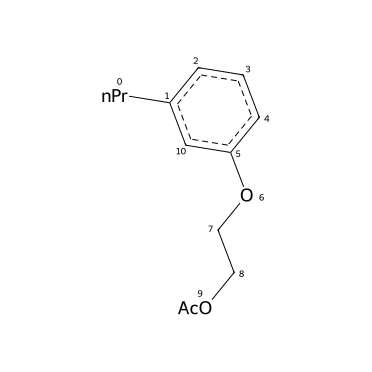 [CH2]CCc1cccc(OCCOC(C)=O)c1